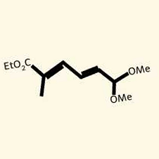 CCOC(=O)C(C)=CC=CC(OC)OC